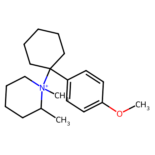 COc1ccc(C2([N+]3(C)CCCCC3C)CCCCC2)cc1